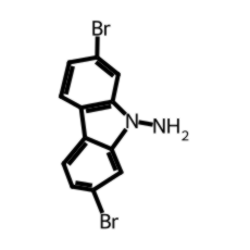 Nn1c2cc(Br)ccc2c2ccc(Br)cc21